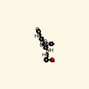 O=C(NS(=O)(=O)c1ccc(NCC2CCOCC2)cc1)c1ccc(NCCNCc2ccccc2N2CC3CCC(CC3)C2)cc1Oc1ccccc1